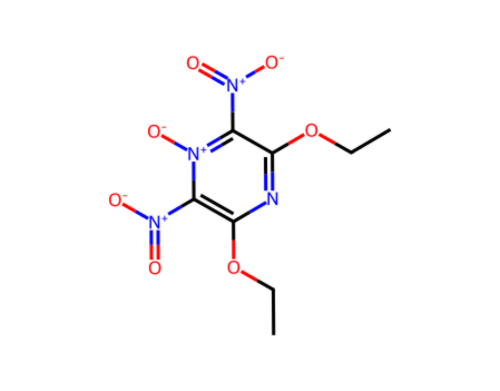 CCOc1nc(OCC)c([N+](=O)[O-])[n+]([O-])c1[N+](=O)[O-]